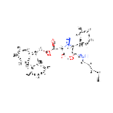 C=CCCCNC(=O)C(NC(=O)C(=O)OCC1c2ccccc2-c2ccccc21)c1ccccc1